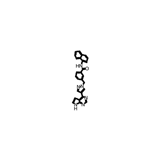 O=C(Nc1cccc2ccccc12)c1cccc(Cn2cc(-c3ncnc4[nH]ccc34)cn2)c1